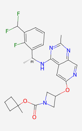 Cc1nc(N[C@H](C)c2cccc(C(F)F)c2F)c2cc(OC3CN(C(=O)OC4(C)CCC4)C3)ncc2n1